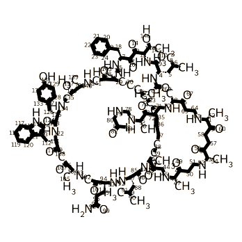 CC(=O)N[C@@H](CC(C)C)C(=O)N[C@H](C(=O)C(=O)[C@H](Cc1ccccc1)NN[C@]1(C)CCCCCC/C=C/CCC[C@@](C)(C(=O)CN[C@@H](C)C(=O)CCN[C@@H](C)C(=O)CCC(=O)[C@H](C)NCCC(=O)[C@H](C)NCCC(=O)[C@H](C)NCNCC(=O)I)NC(=O)[C@H](CC(C)C)NN[C@@H](CCC(N)=O)C(=O)CN[C@@H](C)C(=O)CC(=O)[C@H](Cc2c[nH]c3ccccc23)NC(=O)[C@H](Cc2ccc(O)cc2)NCC(=O)[C@H](C)NCC1=O)[C@@H](C)O